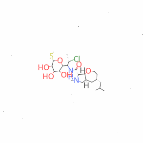 CSC1OC([C@H](NC(=O)[C@@H]2[C@@H]3OCC[C@H](CC(C)C)C[C@H]3CN2C)[C@H](C)Cl)C(O)C(O)C1O